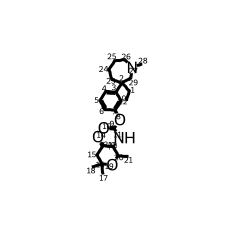 CCC1(c2cccc(OC(=O)N[C@@H]3C(=O)CC(C)(C)OC3C)c2)CCCCN(C)C1